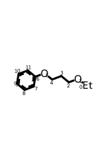 CCOCCCOc1cc[c]cc1